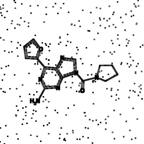 Nc1nc(-c2ccco2)c2ncn(C(=O)N3CCCC3)c2n1